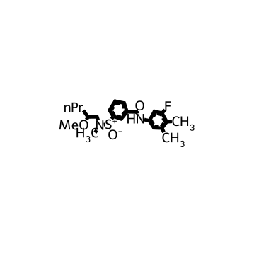 CCCC(CN(C)[S+]([O-])c1cccc(C(=O)Nc2cc(C)c(C)c(F)c2)c1)OC